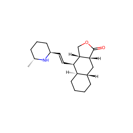 C[C@@H]1CCC[C@@H](C=C[C@@H]2[C@@H]3CCCC[C@H]3C[C@H]3C(=O)OC[C@@H]23)N1